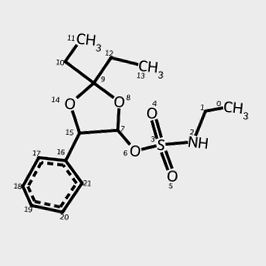 CCNS(=O)(=O)OC1OC(CC)(CC)OC1c1ccccc1